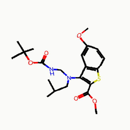 COC(=O)c1sc2ccc(OC)cc2c1N(CNC(=O)OC(C)(C)C)CC(C)C